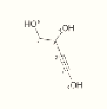 OC#CC(O)CO